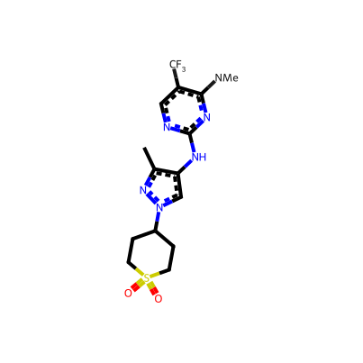 CNc1nc(Nc2cn(C3CCS(=O)(=O)CC3)nc2C)ncc1C(F)(F)F